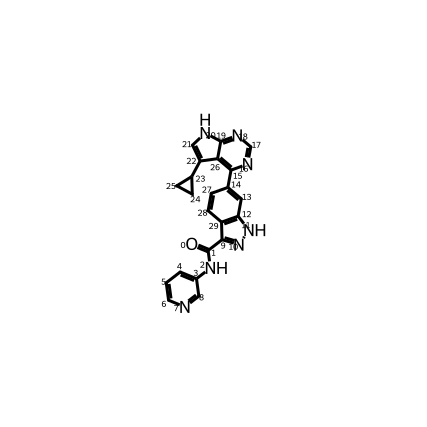 O=C(Nc1cccnc1)c1n[nH]c2cc(-c3ncnc4[nH]cc(C5CC5)c34)ccc12